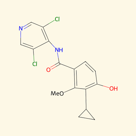 COc1c(C(=O)Nc2c(Cl)cncc2Cl)ccc(O)c1C1CC1